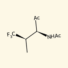 CC(=O)N[C@H](C(C)=O)[C@@H](C)C(F)(F)F